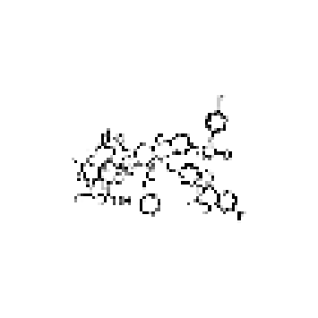 CC(=O)OC[C@H]1CC(Oc2ccc([C@@H]3[C@@H](CC[C@H](OC(C)=O)c4ccc(F)cc4)C(=O)N3c3ccc(F)cc3)cc2)[C@H](OCc2ccccc2)[C@@H](OCc2ccccc2)[C@@H]1O[C@]1(C)O[C@H](C(=O)O)[C@@H](OC(C)=O)[C@H](OC(C)=O)[C@H]1OC(C)=O